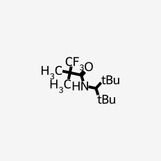 CC(C)(C)C(NC(=O)C(C)(C)C(F)(F)F)C(C)(C)C